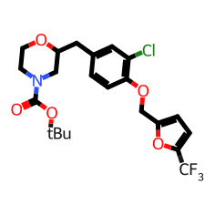 CC(C)(C)OC(=O)N1CCOC(Cc2ccc(OCc3ccc(C(F)(F)F)o3)c(Cl)c2)C1